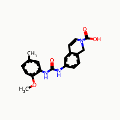 COc1ccc(C)cc1NC(=O)Nc1ccc2c(c1)C=CN(C(=O)O)C2